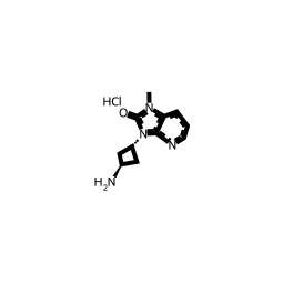 Cl.Cn1c(=O)n([C@H]2C[C@H](N)C2)c2ncccc21